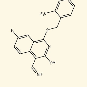 N=Cc1c(O)nc(SCc2ccccc2C(F)(F)F)c2cc(F)ccc12